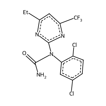 CCc1cc(C(F)(F)F)nc(N(C(N)=O)c2cc(Cl)ccc2Cl)n1